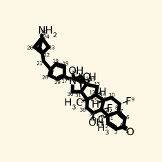 C[C@]12C=CC(=O)C=C1[C@@H](F)C[C@H]1[C@@H]3C[C@H]4CN(c5ccc(CC67CC(N)(C6)C7)cc5)C[C@@]4(C(=O)CO)[C@@]3(C)C[C@H](O)[C@@]12F